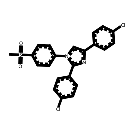 CS(=O)(=O)c1ccc(-n2cc(-c3ccc(Cl)cc3)nc2-c2ccc(Cl)cc2)cc1